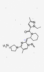 C=NN1C=C(C)C(N2CC[C@H](N)C2)=N/C1=C/C1CCCCN1C(=O)c1cc(C)nn1CC